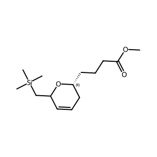 COC(=O)CCC[C@@H]1CC=CC(C[Si](C)(C)C)O1